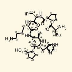 CC[C@H](C)[C@H](N)C(=O)N1CCC[C@H]1C(=O)N[C@@H](CC(C)C)C(=O)N[C@@H](CCCCN)C(=O)N[C@H](C(=O)N[C@@H](Cc1c[nH]cn1)C(=O)N1CCC[C@H]1C(=O)O)C(C)C